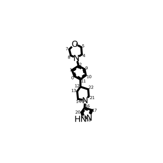 c1cc(N2CCOCC2)ccc1C1CCN(c2cn[nH]c2)CC1